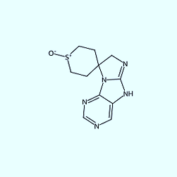 [O-][S+]1CCC2(CC1)CN=C1Nc3cncnc3N12